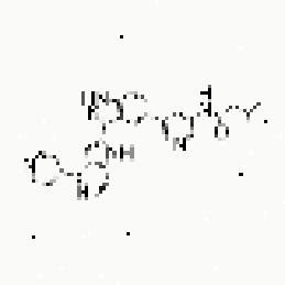 CC(C)CC(=O)Nc1cncc(-c2ccc3[nH]nc(-c4cc5c(-c6ccncc6)nccc5[nH]4)c3c2)c1